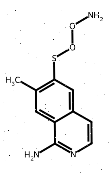 Cc1cc2c(N)nccc2cc1SOON